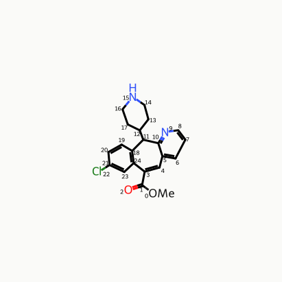 COC(=O)C1=Cc2cccnc2C(C2CCNCC2)c2ccc(Cl)cc21